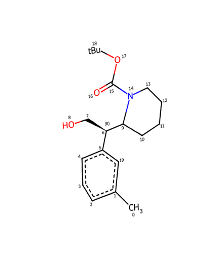 Cc1cccc([C@@H](CO)C2CCCCN2C(=O)OC(C)(C)C)c1